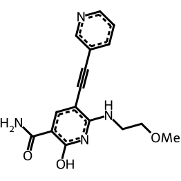 COCCNc1nc(O)c(C(N)=O)cc1C#Cc1cccnc1